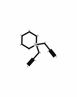 C#CC[Si]1(CC#C)CCCCC1